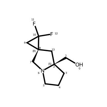 OC[C@@]12CCCN1C[C@]1(CC1(F)F)C2